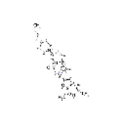 CCCCN1CCN(C2=CN3C(=O)\C=C(c4cc5cc(C)nc(C)c5o4)/C=C/C=C/3C=C2)CC1